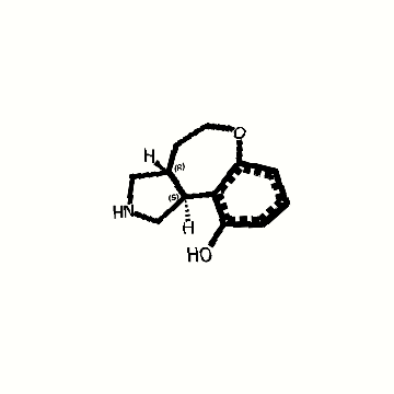 Oc1cccc2c1[C@H]1CNC[C@@H]1CCO2